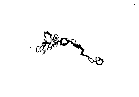 CC1(C)SCCN(S(=O)(=O)c2ccc(OCC#CCCCOC3CCCCO3)cc2)C1C(=O)O